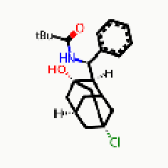 CC(C)(C)C(=O)N[C@@H](c1ccccc1)[C@H]1C2C[C@H]3C[C@](Cl)(C2)C[C@@]1(O)C3